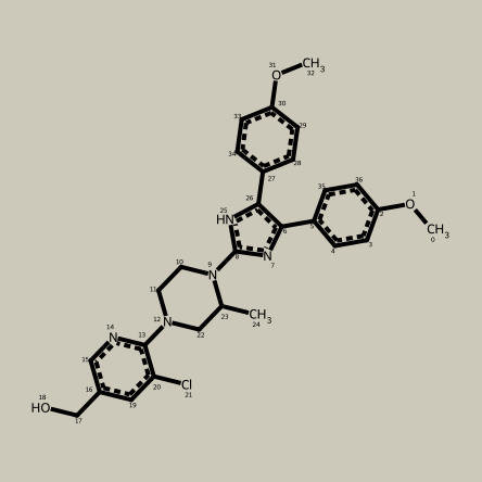 COc1ccc(-c2nc(N3CCN(c4ncc(CO)cc4Cl)CC3C)[nH]c2-c2ccc(OC)cc2)cc1